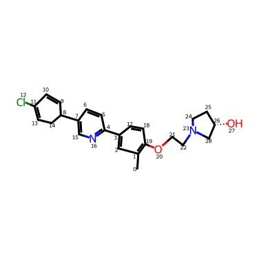 Cc1cc(-c2ccc(C3C=CC(Cl)=CC3)cn2)ccc1OCCN1CC[C@H](O)C1